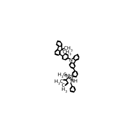 C/C=C\C(=C/C)C(NC)N(NCc1ccccc1)c1cccc(-c2ccc3c(c2)c2ccccc2n3-c2ccc(-c3cccc4c3C(C)(C)c3ccccc3-4)cc2)c1